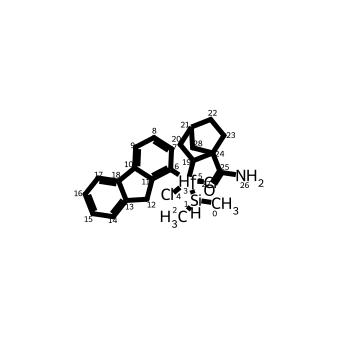 C[SiH](C)[Hf]([Cl])([Cl])([c]1cccc2c1Cc1ccccc1-2)[CH]1CC2CCC1(C(N)=O)C2